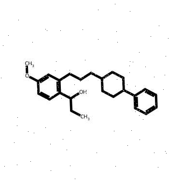 CCC(O)c1ccc(OC)cc1CCCC1CCC(c2ccccc2)CC1